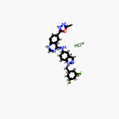 Cc1nnc(-c2ccc3ncnc(Nc4ccc5c(cnn5Cc5cc(F)cc(F)c5)c4)c3c2)o1.Cl